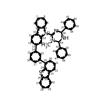 CN1C(n2c3ccccc3c3ccc(-c4cccc(-c5cccc6c5sc5ccccc56)c4)cc32)=NC(c2ccccc2)NC1c1ccccc1